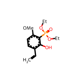 C=Cc1ccc(OC)c(P(=O)(OCC)OCC)c1O